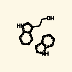 OCCc1c[nH]c2ccccc12.c1ccc2[nH]ccc2c1